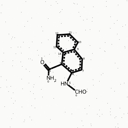 NC(=O)c1c(N[C]=O)ccc2ccccc12